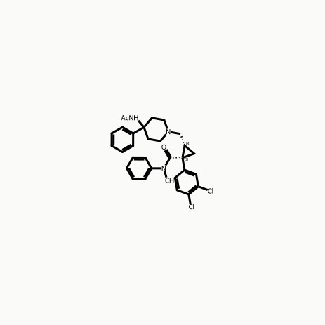 CC(=O)NC1(c2ccccc2)CCN(C[C@@H]2C[C@@]2(C(=O)N(C)c2ccccc2)c2ccc(Cl)c(Cl)c2)CC1